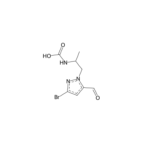 CC(Cn1nc(Br)cc1C=O)NC(=O)O